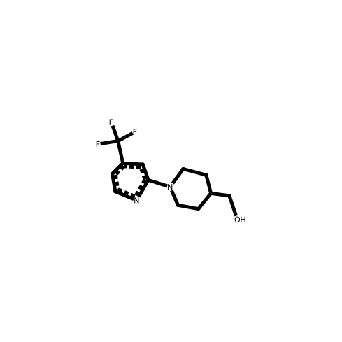 OCC1CCN(c2cc(C(F)(F)F)ccn2)CC1